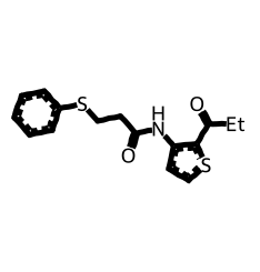 CCC(=O)c1sccc1NC(=O)CCSc1ccccc1